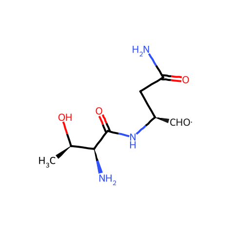 C[C@@H](O)[C@H](N)C(=O)N[C@H]([C]=O)CC(N)=O